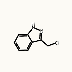 Cl[CH]c1n[nH]c2ccccc12